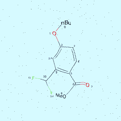 CCCCOc1ccc(C(=O)OC)c(C(F)F)c1